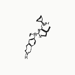 Cc1cnc(Nc2ccc3c(c2)CCNC3)nc1NC1CC1